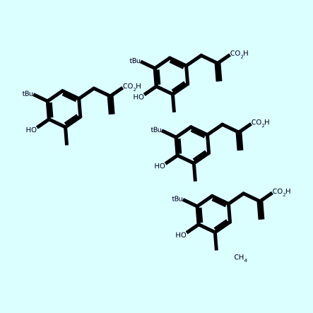 C.C=C(Cc1cc(C)c(O)c(C(C)(C)C)c1)C(=O)O.C=C(Cc1cc(C)c(O)c(C(C)(C)C)c1)C(=O)O.C=C(Cc1cc(C)c(O)c(C(C)(C)C)c1)C(=O)O.C=C(Cc1cc(C)c(O)c(C(C)(C)C)c1)C(=O)O